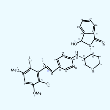 COc1cc(OC)c(Cl)c(/C(F)=C/c2cnc(N[C@H]3COCC[C@H]3N3C(=O)c4ccccc4C3O)nc2)c1Cl